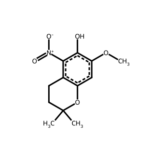 COc1cc2c(c([N+](=O)[O-])c1O)CCC(C)(C)O2